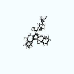 Cc1ncccc1Oc1sc(C(=O)NCCN(C)C)c2c1-c1sncc1CC2